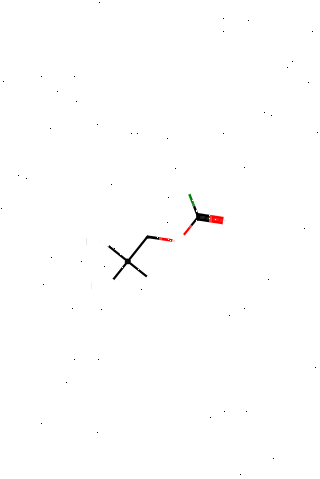 CC(C)(C)COC(=O)F